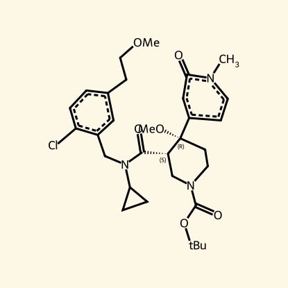 COCCc1ccc(Cl)c(CN(C(=O)[C@H]2CN(C(=O)OC(C)(C)C)CC[C@]2(OC)c2ccn(C)c(=O)c2)C2CC2)c1